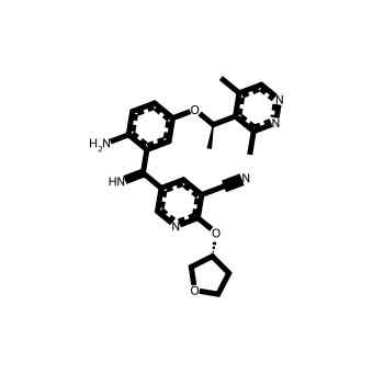 Cc1cnnc(C)c1[C@@H](C)Oc1ccc(N)c(C(=N)c2cnc(O[C@@H]3CCOC3)c(C#N)c2)c1